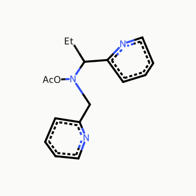 CCC(c1ccccn1)N(Cc1ccccn1)OC(C)=O